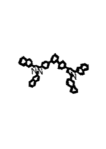 c1cc(-c2ccc(-c3cc(-c4ccc5ccccc5c4)nc(-c4ccc5ccccc5c4)c3)cc2)cc(-c2ccc(-c3cc(-c4ccc5ccccc5c4)nc(-c4ccc5ccccc5c4)n3)cc2)c1